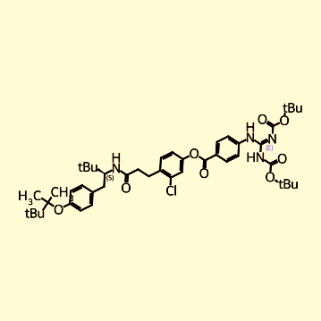 CC(C)(C)OC(=O)/N=C(/NC(=O)OC(C)(C)C)Nc1ccc(C(=O)Oc2ccc(CCC(=O)N[C@@H](Cc3ccc(OC(C)(C)C(C)(C)C)cc3)C(C)(C)C)c(Cl)c2)cc1